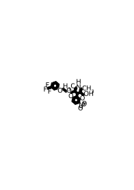 CC1=C(C(=O)O)C(c2cccc([N+](=O)[O-])c2)C(C(=O)OCCOc2cccc(C(F)(F)F)c2)=C(C)N1